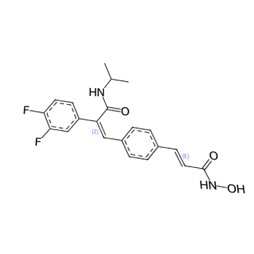 CC(C)NC(=O)/C(=C\c1ccc(/C=C/C(=O)NO)cc1)c1ccc(F)c(F)c1